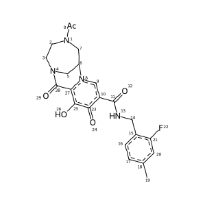 CC(=O)N1CCN2CC(C1)n1cc(C(=O)NCc3ccc(C)cc3F)c(=O)c(O)c1C2=O